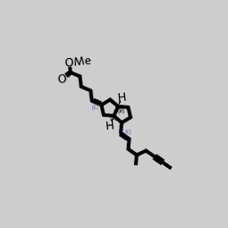 CC#CCC(C)C/C=C/C1CC[C@@H]2C/C(=C\CCCC(=O)OC)C[C@H]12